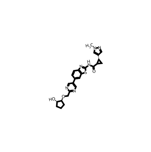 Cn1cc([C@@H]2CC2C(=O)Nc2nc3ccc(-c4cnc(CO[C@H]5CCC[C@@H]5O)nc4)cc3s2)cn1